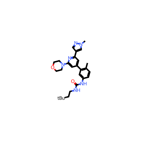 Cc1ccc(NC(=O)NCCC(C)(C)C)cc1-c1cc(-c2cnn(C)c2)nc(N2CCOCC2)c1